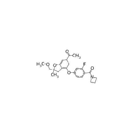 COCC1(C)CC2=C(Oc3ccc(C(=O)N4CCC4)c(F)c3)CC(C(C)=O)C=C2O1